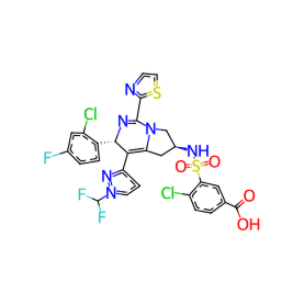 O=C(O)c1ccc(Cl)c(S(=O)(=O)N[C@H]2CC3=C(c4ccn(C(F)F)n4)[C@H](c4ccc(F)cc4Cl)N=C(c4nccs4)N3C2)c1